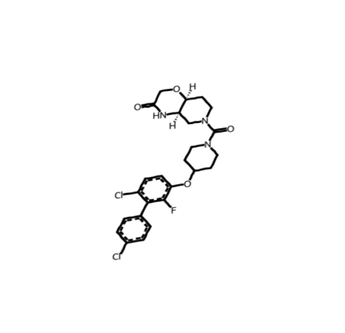 O=C1CO[C@H]2CCN(C(=O)N3CCC(Oc4ccc(Cl)c(-c5ccc(Cl)cc5)c4F)CC3)C[C@H]2N1